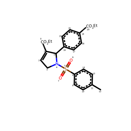 CCOC(=O)C1=CCN(S(=O)(=O)c2ccc(C)cc2)C1c1ccc(C(=O)OCC)cc1